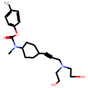 CN(C(=O)Oc1ccc(C(F)(F)F)cc1)C1CCC(C#CCN(CCO)CCO)CC1